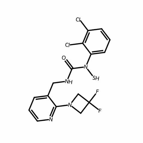 O=C(NCc1cccnc1N1CC(F)(F)C1)N(S)c1cccc(Cl)c1Cl